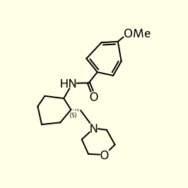 COc1ccc(C(=O)NC2CCCC[C@H]2CN2CCOCC2)cc1